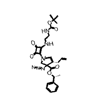 C=CC[C@H]1CN(c2c(NCCNC(=O)OC(C)(C)C)c(=O)c2=O)CC1(N=[N+]=[N-])C(=O)O[C@H](C)c1ccccc1